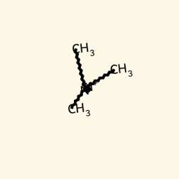 CCCCCCCCCCCCCCc1n(CCCCCCCC)cc[n+]1CCCCCCCCCCC